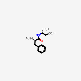 CC(=O)N[C@@H](Cc1ccccc1)C(=O)N[C@@H](CC(=O)O)C(=O)O